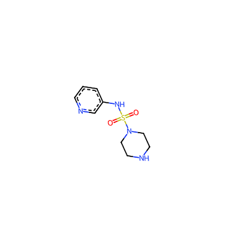 O=S(=O)(Nc1cccnc1)N1CCNCC1